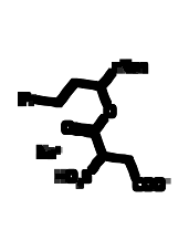 CCCCCCCCCC(CCC(C)C)OC(=O)C(CC(=O)[O-])S(=O)(=O)O.[Na+]